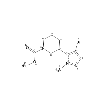 Cn1ncc(Br)c1C1CCCN(C(=O)OC(C)(C)C)C1